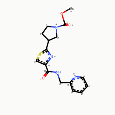 CC(C)(C)OC(=O)N1CCC(c2nc(C(=O)NCc3ccccn3)cs2)C1